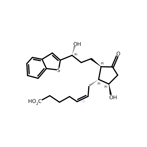 O=C(O)CCC/C=C\C[C@H]1[C@H](O)CC(=O)[C@@H]1CC[C@@H](O)c1cc2ccccc2s1